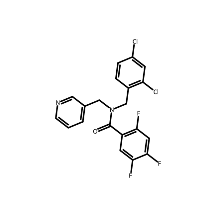 O=C(c1cc(F)c(F)cc1F)N(Cc1cccnc1)Cc1ccc(Cl)cc1Cl